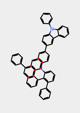 c1ccc(-c2cccc(N(c3ccc(-c4ccc5c(c4)c4ccccc4n5-c4ccccc4)cc3)c3cccc(-c4ccccc4)c3-c3ccccc3-c3ccccc3)c2)cc1